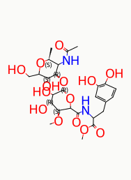 COC(=O)C(Cc1ccc(O)c(O)c1)NC(=O)C1O[C@@H](O[C@@H]2C(NC(C)=O)[C@H](C)OC(CO)[C@H]2O)C(O)[C@@H](O)[C@@H]1OC